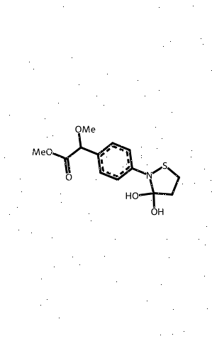 COC(=O)C(OC)c1ccc(N2SCCC2(O)O)cc1